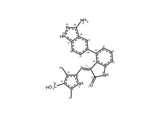 Cc1[nH]c(/C=C2\C(=O)Nc3cccc(-c4ccc5[nH]nc(N)c5c4)c32)c(C)c1C(=O)O